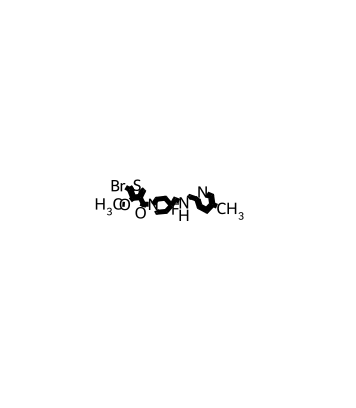 COc1c(C(=O)N2CCC(F)(CNCc3ccc(C)cn3)CC2)csc1Br